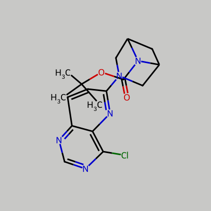 CC(C)(C)OC(=O)N1C2CC1CN(c1ccc3ncnc(Cl)c3n1)C2